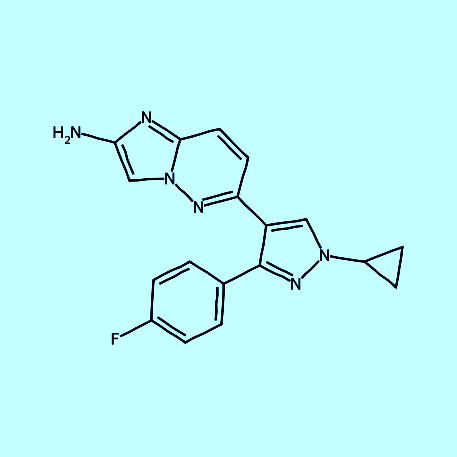 Nc1cn2nc(-c3cn(C4CC4)nc3-c3ccc(F)cc3)ccc2n1